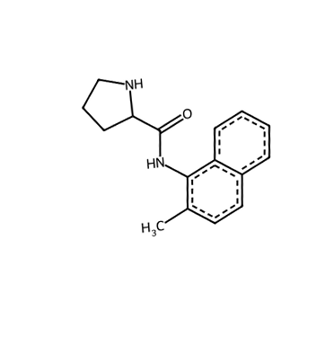 Cc1ccc2ccccc2c1NC(=O)C1CCCN1